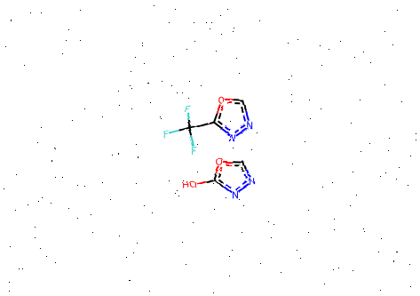 FC(F)(F)c1nnco1.Oc1nnco1